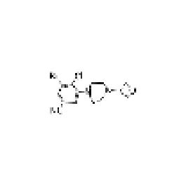 N#Cc1cc(Br)c(Cl)c(N2CCN(C3COC3)CC2)c1